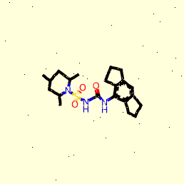 CC1CC(C)N(S(=O)(=O)NC(=O)Nc2c3c(cc4c2CCC4)CCC3)C(C)C1